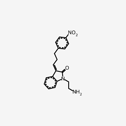 NCCN1C(=O)C(=CCCc2ccc([N+](=O)[O-])cc2)c2ccccc21